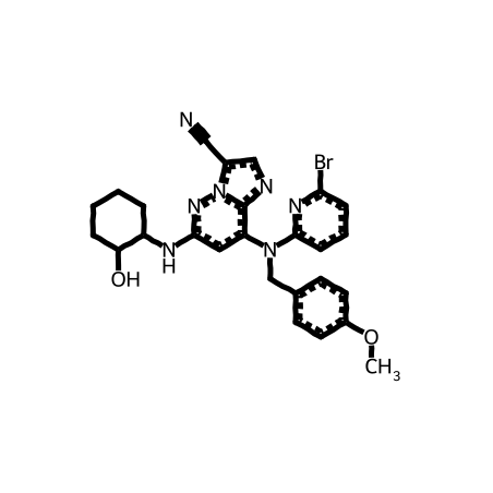 COc1ccc(CN(c2cccc(Br)n2)c2cc(NC3CCCCC3O)nn3c(C#N)cnc23)cc1